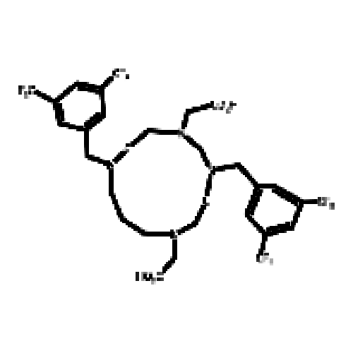 O=C(O)CN1CCCN(Cc2cc(C(F)(F)F)cc(C(F)(F)F)c2)CCN(CC(=O)O)CN(Cc2cc(C(F)(F)F)cc(C(F)(F)F)c2)CC1